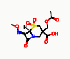 CON=C1C(=O)N2CC(COC(C)=O)(C(=O)O)CS(=O)(=O)[C@H]12